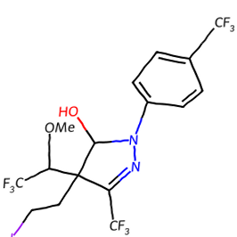 COC(C(F)(F)F)C1(CCI)C(C(F)(F)F)=NN(c2ccc(C(F)(F)F)cc2)C1O